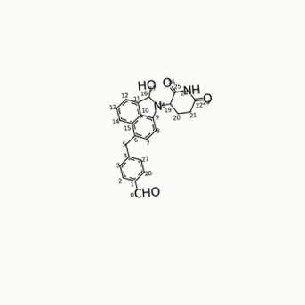 O=Cc1ccc(Cc2ccc3c4c(cccc24)C(O)N3C2CCC(=O)NC2=O)cc1